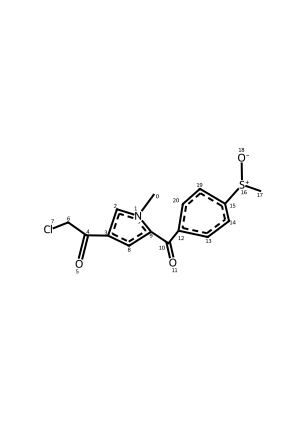 Cn1cc(C(=O)CCl)cc1C(=O)c1ccc([S+](C)[O-])cc1